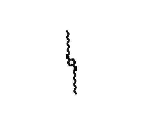 CCCCCCCCSc1ccc(SCCCCCCCC)cc1